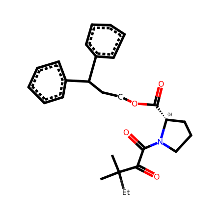 CCC(C)(C)C(=O)C(=O)N1CCC[C@H]1C(=O)OCCC(c1ccccc1)c1ccccc1